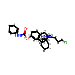 O=C(Nc1ccccc1)Oc1ccc2c(c1)[C@@]13CCCC[C@H]1[C@@H](C2)N(CCCCl)CC3